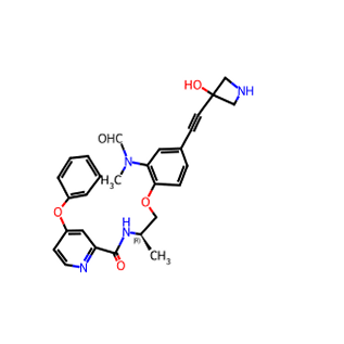 C[C@H](COc1ccc(C#CC2(O)CNC2)cc1N(C)C=O)NC(=O)c1cc(Oc2ccccc2)ccn1